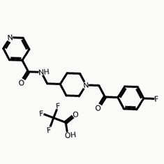 O=C(CN1CCC(CNC(=O)c2ccncc2)CC1)c1ccc(F)cc1.O=C(O)C(F)(F)F